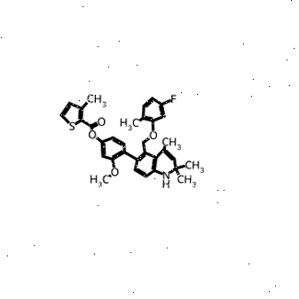 COc1cc(OC(=O)c2sccc2C)ccc1-c1ccc2c(c1COc1cc(F)ccc1C)C(C)=CC(C)(C)N2